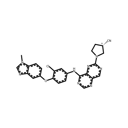 Cn1cnc2cc(Oc3ccc(Nc4ncnc5cnc(N6CC[C@H](C#N)C6)nc45)cc3Cl)ccc21